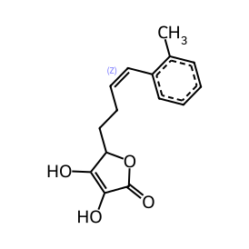 Cc1ccccc1/C=C\CCC1OC(=O)C(O)=C1O